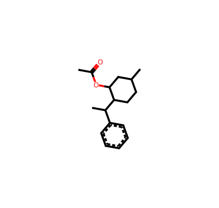 CC(=O)OC1CC(C)CCC1C(C)c1ccccc1